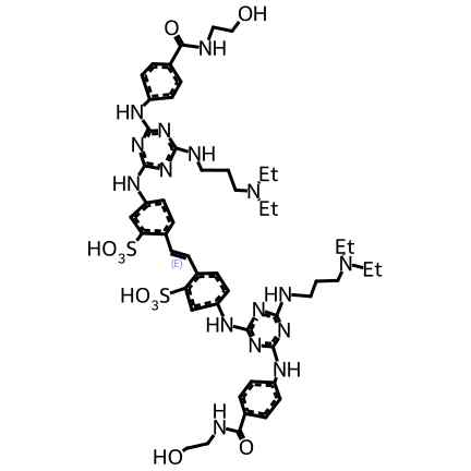 CCN(CC)CCCNc1nc(Nc2ccc(C(=O)NCCO)cc2)nc(Nc2ccc(/C=C/c3ccc(Nc4nc(NCCCN(CC)CC)nc(Nc5ccc(C(=O)NCCO)cc5)n4)cc3S(=O)(=O)O)c(S(=O)(=O)O)c2)n1